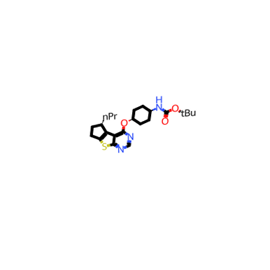 CCC[C@H]1CCc2sc3ncnc(O[C@H]4CC[C@H](NC(=O)OC(C)(C)C)CC4)c3c21